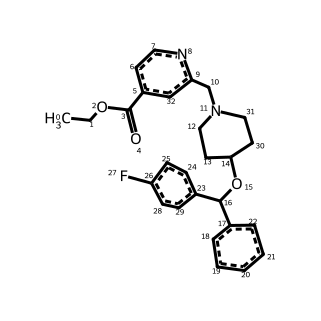 CCOC(=O)c1ccnc(CN2CCC(OC(c3ccccc3)c3ccc(F)cc3)CC2)c1